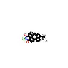 BC(C)(CCC)c1ccc2c3c(cccc13)-c1ccc3c4c(ccc(c14)C2(C)CC)C(=O)N(Cl)C3=O